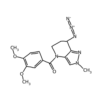 COc1ccc(C(=O)N2CCC(N=[N+]=[N-])c3nn(C)cc32)cc1OC